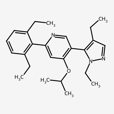 CCc1cccc(CC)c1-c1cc(OC(C)C)c(-c2c(CC)cnn2CC)cn1